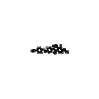 CCCC1CCC(COC2CCC(CC(=O)c3ccc(OCC)c(F)c3O)CC2)CC1